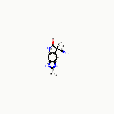 Cc1nc2cc3c(cc2[nH]1)NC(=O)C3(C)C#N